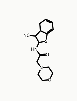 N#CC1C(NC(=O)CN2CCOCC2)SC2=CC=CCC21